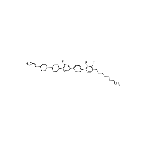 C/C=C/C1CCC(C2CCC(c3ccc(-c4ccc(-c5ccc(CCCCCCCC)c(F)c5F)cc4)cc3F)CC2)CC1